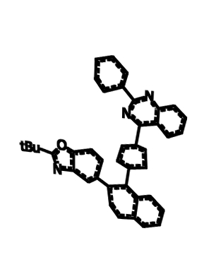 CC(C)(C)c1nc2cc(-c3ccc4ccccc4c3-c3ccc(-c4nc(-c5ccccc5)nc5ccccc45)cc3)ccc2o1